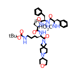 CC(C)C[C@@H](NC(=O)[C@@H](Cc1ccccc1)NC(=O)[C@@H](Cc1ccccc1)NC(=O)O)C(=O)N[C@H](CCCCNC(=O)OC(C)(C)C)C(=O)N1CC2(CCN(C3CCOCC3)CC2)C1